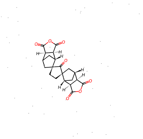 O=C1OC(=O)[C@@H]2[C@H]1[C@@H]1C[C@H]2[C@@]2(CC[C@]3(CC4C[C@@H]3[C@@H]3C(=O)OC(=O)[C@H]43)C2=O)C1